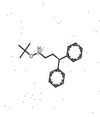 CC(C)(C)O[SiH2]CCC(c1ccccc1)c1ccccc1